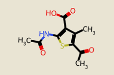 CC(=O)Nc1sc(C(C)=O)c(C)c1C(=O)O